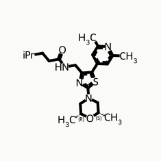 Cc1cc(-c2sc(N3C[C@@H](C)O[C@@H](C)C3)nc2CNC(=O)CCC(C)C)cc(C)n1